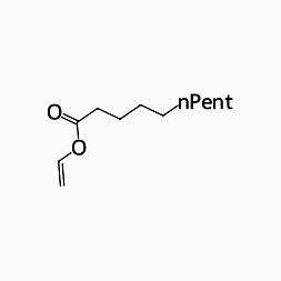 C=COC(=O)CCCCCCCCC